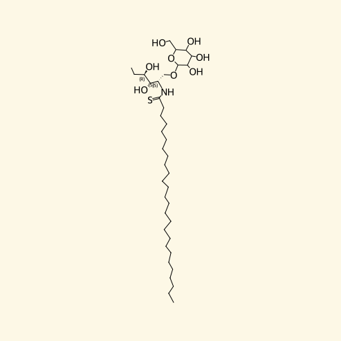 CCCCCCCCCCCCCCCCCCCCCCCCCC(=S)N[C@@H](COC1OC(CO)C(O)C(O)C1O)[C@H](O)[C@H](O)CC